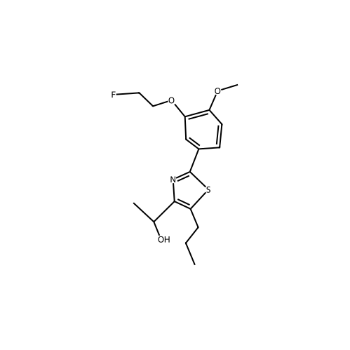 CCCc1sc(-c2ccc(OC)c(OCCF)c2)nc1C(C)O